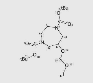 CC(C)(C)OC(=O)N1CCN(C(=O)OC(C)(C)C)CC(OSOI)C1